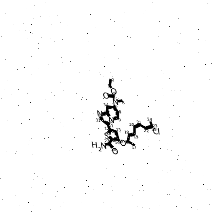 CCOC(=O)N(C)c1ccn2c(-c3cc(OC(C)/C=C/C=C\C=C(/C)Cl)c(C(N)=O)s3)cnc2c1